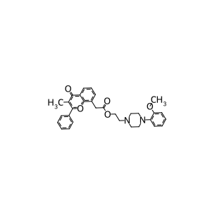 COc1ccccc1N1CCN(CCOC(=O)Cc2cccc3c(=O)c(C)c(-c4ccccc4)oc23)CC1